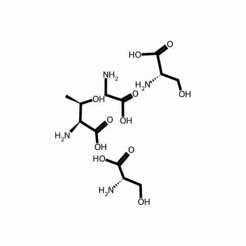 C[C@@H](O)[C@H](N)C(=O)O.NCC(=O)O.N[C@@H](CO)C(=O)O.N[C@@H](CO)C(=O)O